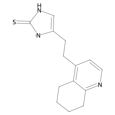 S=C1[N]C(CCc2ccnc3c2CCCC3)=CN1